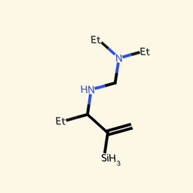 C=C([SiH3])C(CC)NCN(CC)CC